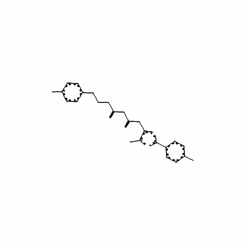 Cc1ccc(CCCC(=O)CC(=O)Cc2nc(-c3ccc(C)cc3)oc2C)cc1